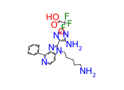 NCCCCCn1c(-c2nonc2N)nc2c(-c3ccccc3)nccc21.O=C(O)C(F)(F)F